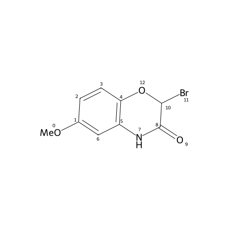 COc1ccc2c(c1)NC(=O)C(Br)O2